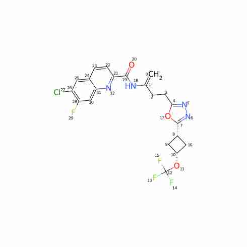 C=C(CCc1nnc([C@H]2C[C@@H](OC(F)(F)F)C2)o1)NC(=O)c1ccc2cc(Cl)c(F)cc2n1